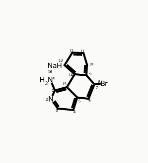 Nc1nccc2cc(Br)c3ccccc3c12.[NaH]